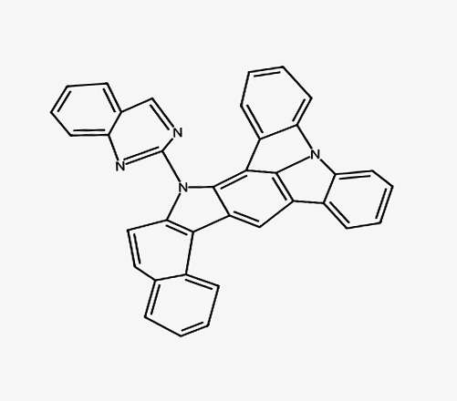 c1ccc2nc(-n3c4ccc5ccccc5c4c4cc5c6ccccc6n6c7ccccc7c(c43)c56)ncc2c1